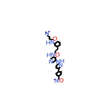 CN(C)CC=CC(=O)Nc1cccc(CCC(=O)Nc2cncc(Nc3ccc(-c4ccc(C(=O)N(C)C)cc4)cn3)c2)c1